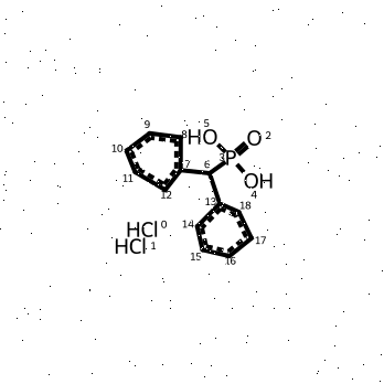 Cl.Cl.O=P(O)(O)C(c1ccccc1)c1ccccc1